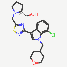 OC[C@H]1CCCN1Cc1nc(-c2cn(CC3CCOCC3)c3c(Cl)cccc23)ns1